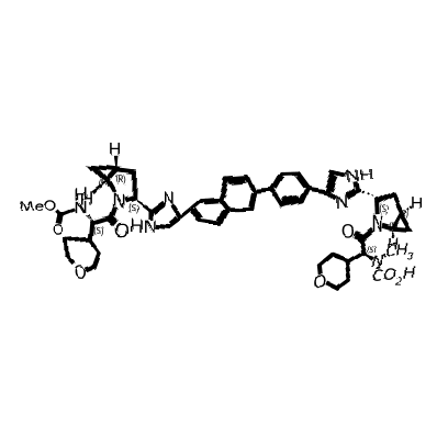 COC(=O)N[C@H](C(=O)N1[C@@H]2C[C@@H]2C[C@H]1c1nc(-c2ccc3cc(-c4ccc(-c5c[nH]c([C@@H]6C[C@H]7C[C@H]7N6C(=O)[C@H](C6CCOCC6)N(C)C(=O)O)n5)cc4)ccc3c2)c[nH]1)C1CCOCC1